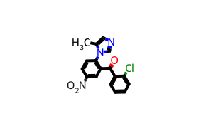 Cc1cncn1-c1ccc([N+](=O)[O-])cc1C(=O)c1ccccc1Cl